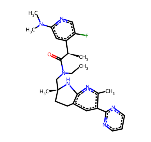 CCN(C[C@@]1(C)CCc2cc(-c3ncccn3)c(C)nc2N1)C(=O)[C@H](C)c1cc(N(C)C)ncc1F